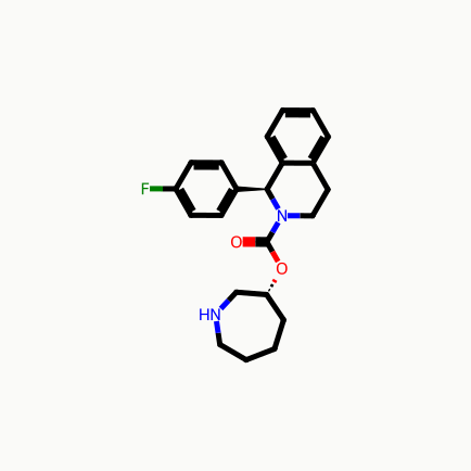 O=C(O[C@@H]1CCCCNC1)N1CCc2ccccc2[C@@H]1c1ccc(F)cc1